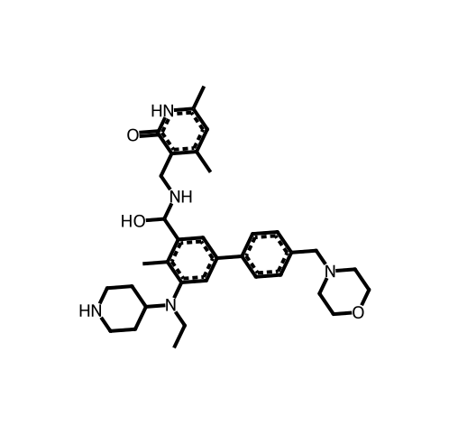 CCN(c1cc(-c2ccc(CN3CCOCC3)cc2)cc(C(O)NCc2c(C)cc(C)[nH]c2=O)c1C)C1CCNCC1